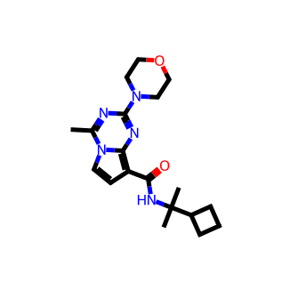 Cc1nc(N2CCOCC2)nc2c(C(=O)NC(C)(C)C3CCC3)ccn12